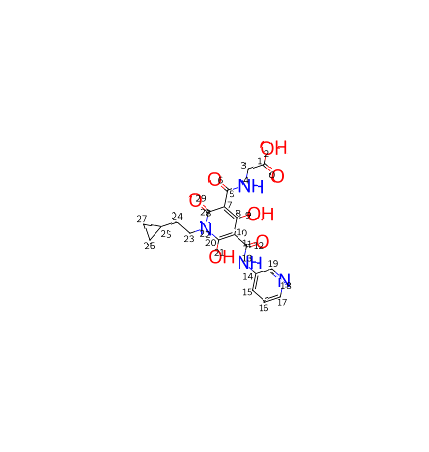 O=C(O)CNC(=O)c1c(O)c(C(=O)Nc2cccnc2)c(O)n(CCC2CC2)c1=O